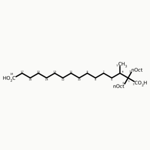 CCCCCCCCC(CCCCCCCC)(C(=O)O)C(C)CCCCCCCCCCCCC(=O)O